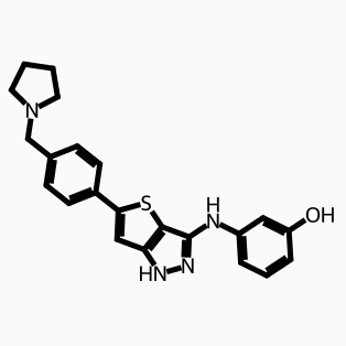 Oc1cccc(Nc2n[nH]c3cc(-c4ccc(CN5CCCC5)cc4)sc23)c1